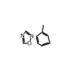 Cc1ccccc1.c1ncon1